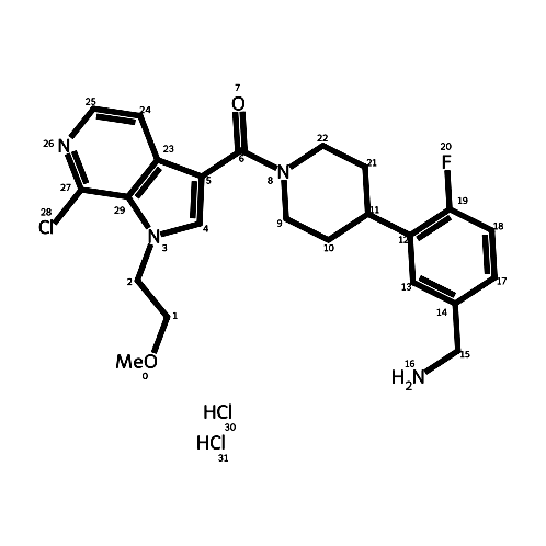 COCCn1cc(C(=O)N2CCC(c3cc(CN)ccc3F)CC2)c2ccnc(Cl)c21.Cl.Cl